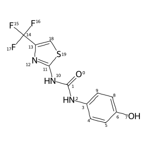 O=C(Nc1ccc(O)cc1)Nc1nc(C(F)(F)F)cs1